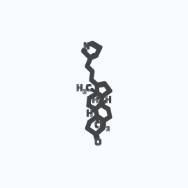 C[C@]12CCC(=O)CC1CC[C@@H]1[C@H]2CC[C@]2(C)C(CCCc3cccnc3)=CC[C@@H]12